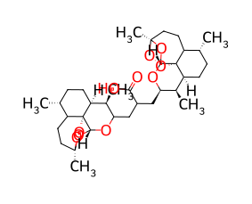 C[C@H]1[C@@H](CC(CC2O[C@@H]3O[C@]4(C)CCC5[C@H](C)CC[C@@H]([C@H]2C)[C@]53OO4)C(=O)O)O[C@@H]2O[C@]3(C)CCC4[C@H](C)CC[C@@H]1[C@]42OO3